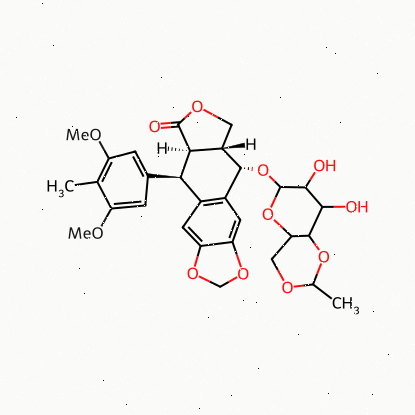 COc1cc([C@@H]2c3cc4c(cc3[C@@H](OC3OC5COC(C)OC5C(O)C3O)[C@H]3COC(=O)[C@H]23)OCO4)cc(OC)c1C